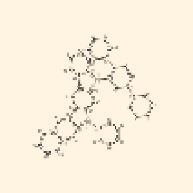 c1ccc(-c2ccc(-c3ccccc3)c(-n3c4ccccc4c4cc5c6cc7ccccc7cc6n(-c6ccccc6)c5cc43)c2)cc1